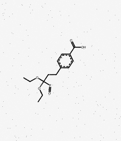 CCOC(CCc1ccc(C(=O)O)cc1)(OCC)P=O